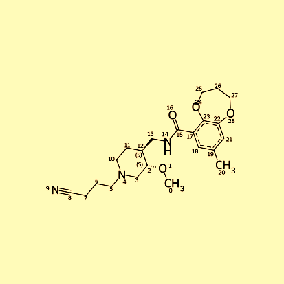 CO[C@@H]1CN(CCCC#N)CC[C@H]1CNC(=O)c1cc(C)cc2c1OCCCO2